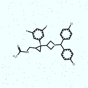 CC(=O)NCC1C[C@@]1(c1cc(F)cc(F)c1)C1CN(C(c2ccc(Cl)cc2)c2ccc(Cl)cc2)C1